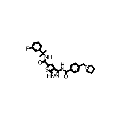 CC(C)(NC(=O)c1cc2c(NC(=O)c3ccc(CN4CCCC4)cc3)n[nH]c2s1)c1cccc(F)c1